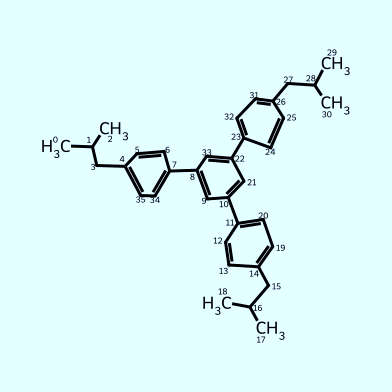 CC(C)Cc1ccc(-c2cc(-c3ccc(CC(C)C)cc3)cc(-c3ccc(CC(C)C)cc3)c2)cc1